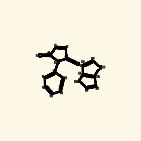 O=C1C=CC(=O)N1c1ccccc1.c1cc2sccc2s1